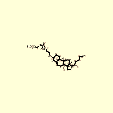 CCOC(=O)COP(=O)(O)OCCO[C@H]1CC[C@@]2(C)C(=CC[C@H]3[C@@H]4CC[C@H]([C@H](C)CCCC(C)C)[C@@]4(C)CC[C@@H]32)C1